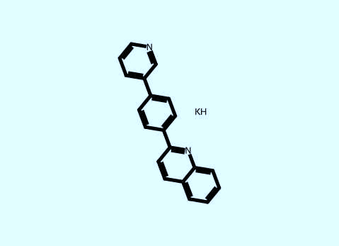 [KH].c1cncc(-c2ccc(-c3ccc4ccccc4n3)cc2)c1